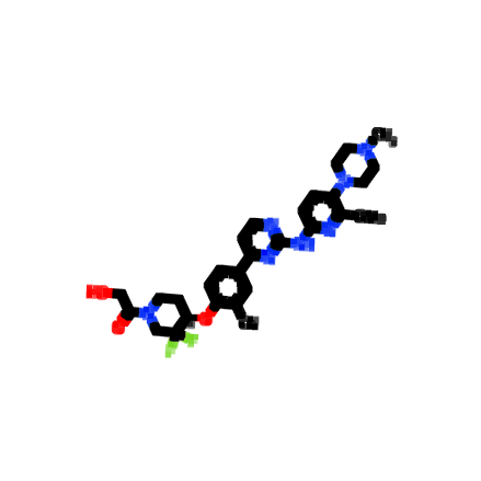 COc1nc(Nc2nccc(-c3ccc(O[C@H]4CCN(C(=O)CO)CC4(F)F)c(C#N)c3)n2)ccc1N1CCN(C)CC1